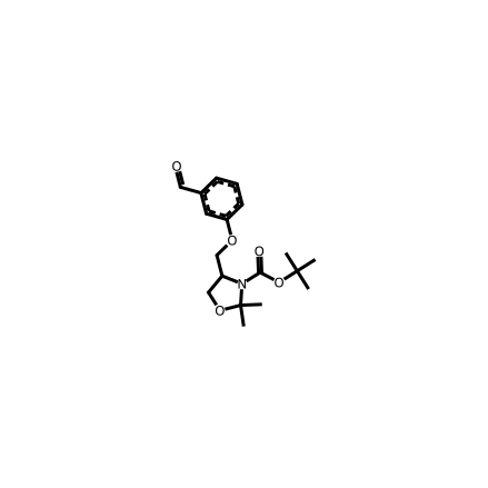 CC(C)(C)OC(=O)N1C(COc2cccc(C=O)c2)COC1(C)C